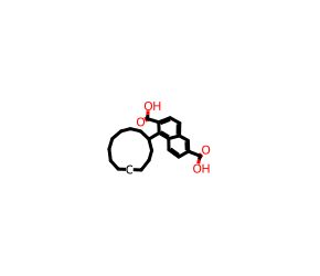 O=C(O)c1ccc2c(C3CCCCCCCCCCC3)c(C(=O)O)ccc2c1